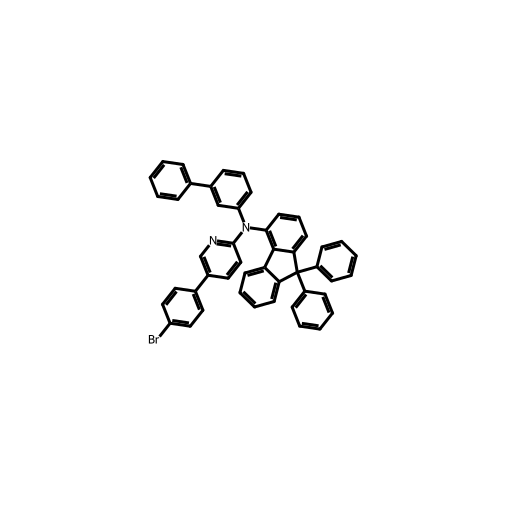 Brc1ccc(-c2ccc(N(c3cccc(-c4ccccc4)c3)c3cccc4c3-c3ccccc3C4(c3ccccc3)c3ccccc3)nc2)cc1